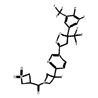 O=C(C1CS(=O)(=O)C1)N1CC(F)(c2ccc(C3=NOC(c4cc(F)c(F)c(C(F)(F)F)c4)(C(F)(F)F)C3)cn2)C1